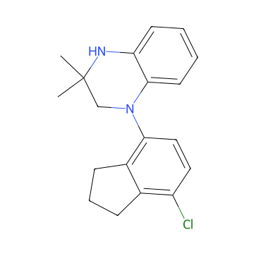 CC1(C)CN(c2ccc(Cl)c3c2CCC3)c2ccccc2N1